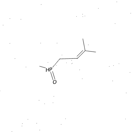 CC(C)=CC[PH](C)=O